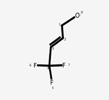 [O]CC=CC(F)(F)F